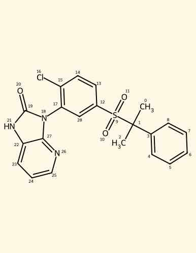 CC(C)(c1ccccc1)S(=O)(=O)c1ccc(Cl)c(-n2c(=O)[nH]c3cccnc32)c1